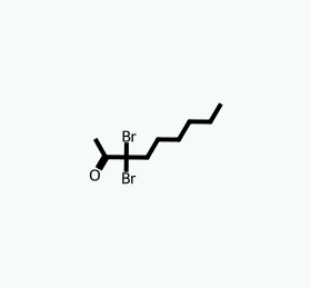 CCCCCCC(Br)(Br)C(C)=O